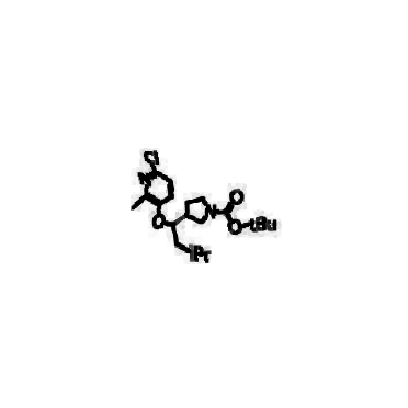 Cc1nc(Cl)ccc1OC(CC(C)C)[C@H]1CCN(C(=O)OC(C)(C)C)C1